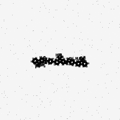 CCC(CC)(c1ccc(-c2ccc3c(c2)C(CC)(CC)c2cc4c(cc2-3)CC4(CC)c2ccc(-c3ccc4c(c3)C(C)(C(F)(F)F)c3ccccc3-4)cc2)cc1)c1ccc2c(c1)C(C)(C(F)(F)F)c1ccccc1-2